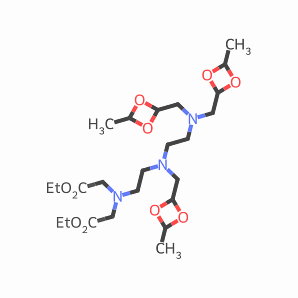 CCOC(=O)CN(CCN(CCN(CC1OC(C)O1)CC1OC(C)O1)CC1OC(C)O1)CC(=O)OCC